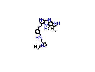 Cc1c(Nc2c(C#N)cncc2/C=C/c2cccc(CNCCC3CCCN3C)c2)ccc2[nH]ccc12